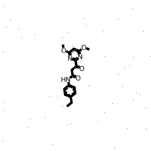 CCc1ccc(NC(=O)CC(=O)c2nc(OC)cc(OC)n2)cc1